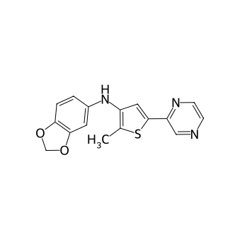 Cc1sc(-c2cnccn2)cc1Nc1ccc2c(c1)OCO2